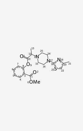 COC(=O)c1ccccc1OC(=O)C(C)N1CCN(c2nc(C)cs2)CC1